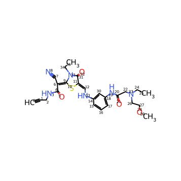 C#CCNC(=O)C(C#N)=c1sc(=CNc2cccc(NC(=O)CN(CC)CCOC)c2)c(=O)n1CC